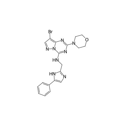 Brc1cnn2c(NCc3ncc(-c4ccccc4)[nH]3)nc(N3CCOCC3)nc12